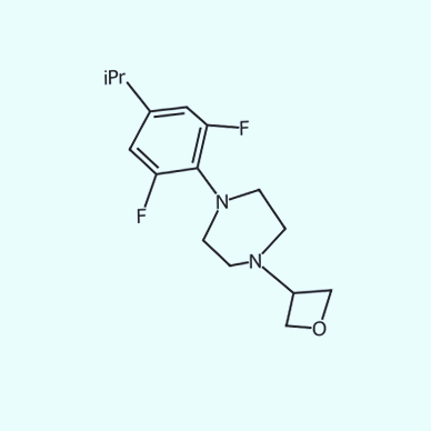 CC(C)c1cc(F)c(N2CCN(C3COC3)CC2)c(F)c1